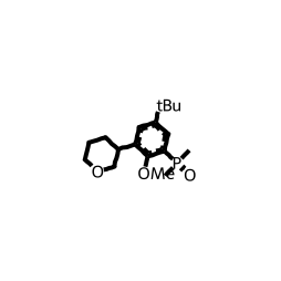 COc1c(C2CCCOC2)cc(C(C)(C)C)cc1P(C)(C)=O